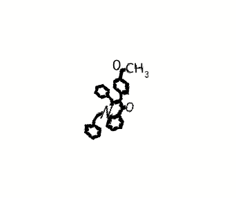 CC(=O)c1ccc(-c2c(-c3ccccc3)n(Cc3ccccc3)c3ccccc3c2=O)cc1